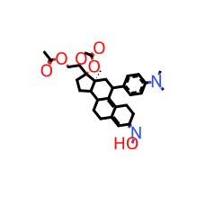 CC(=O)OCC(=O)[C@@]1(OC(C)=O)CCC2C3CCC4=CC(=NO)CCC4=C3C(c3ccc(N(C)C)cc3)C[C@@]21C